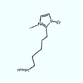 CCCCCCCCCCCCc1n(CC)cc[n+]1C